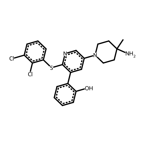 CC1(N)CCN(c2cnc(Sc3cccc(Cl)c3Cl)c(-c3ccccc3O)c2)CC1